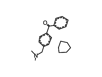 C1CCCCC1.CN(C)Cc1ccc(C(=O)c2ccccc2)cc1